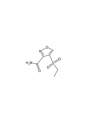 CCS(=O)(=O)c1conc1C(N)=O